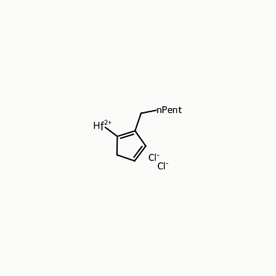 CCCCCCC1=[C]([Hf+2])CC=C1.[Cl-].[Cl-]